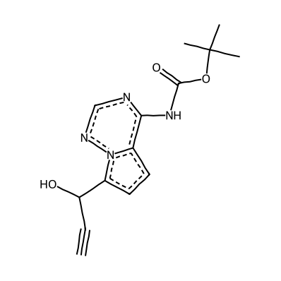 C#CC(O)c1ccc2c(NC(=O)OC(C)(C)C)ncnn12